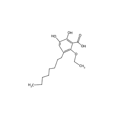 CCCCCCCCc1cc(O)c(O)c(C(=O)O)c1OCC